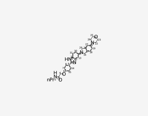 CCCNC(=O)COc1ccc(-c2nc3cc(N4Cc5ccc(N6CCOCC6)cc5C4)ccc3[nH]2)cc1